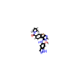 COc1cc2[nH]ncc2cc1Nc1ncnc2sc3c(c12)CCC(C(=O)N1[C@H](C)CC[C@H]1C)C3